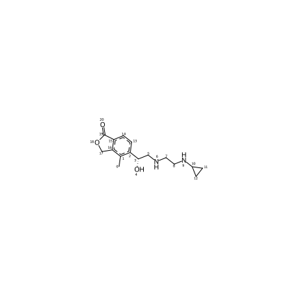 Cc1c([C@@H](O)CNCCNC2CC2)ccc2c1COC2=O